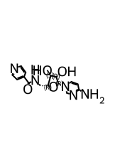 NC1=NCN([C@@H]2O[C@H](CNC(=O)c3ccncc3)[C@@H](O)[C@H]2O)C=C1